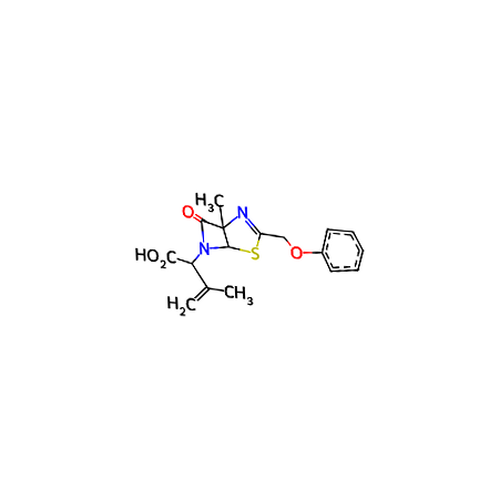 C=C(C)C(C(=O)O)N1C(=O)C2(C)N=C(COc3ccccc3)SC12